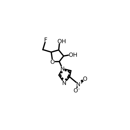 O=[N+]([O-])c1cn(C2OC(CF)C(O)C2O)cn1